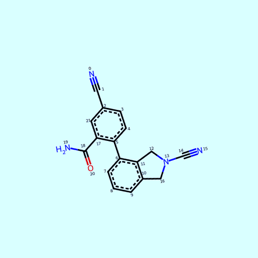 N#Cc1ccc(-c2cccc3c2CN(C#N)C3)c(C(N)=O)c1